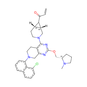 C=CC(=O)C1[C@H]2CCN(c3nc(OC[C@@H]4CCCN4C)nc4c3CCN(c3cccc5cccc(Cl)c35)C4)C[C@@H]12